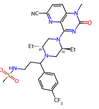 CC[C@H]1CN(C(CCNS(C)(=O)=O)c2ccc(C(F)(F)F)cc2)[C@H](CC)CN1c1nc(=O)n(C)c2ccc(C#N)nc12